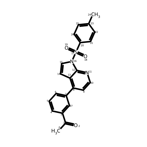 CC(=O)c1cccc(-c2ccnc3c2ccn3S(=O)(=O)c2ccc(C)cc2)c1